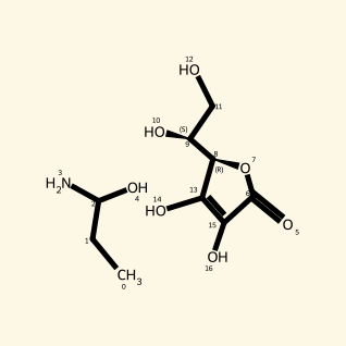 CCC(N)O.O=C1O[C@H]([C@@H](O)CO)C(O)=C1O